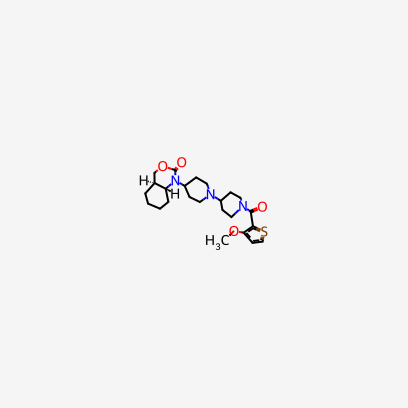 COc1ccsc1C(=O)N1CCC(N2CCC(N3C(=O)OC[C@@H]4CCCC[C@H]43)CC2)CC1